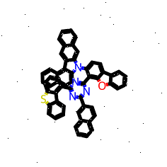 c1ccc2cc(-c3nc(-c4c(-n5c6cc7ccccc7cc6c6c7ccccc7ccc65)ccc5c4oc4ccccc45)nc(-c4cccc5sc6ccccc6c45)n3)ccc2c1